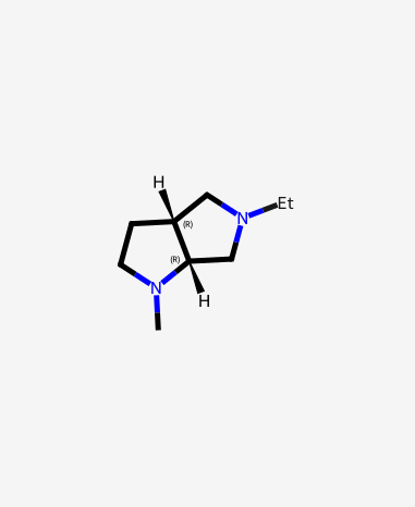 CCN1C[C@H]2CCN(C)[C@H]2C1